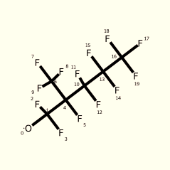 [O]C(F)(F)C(F)(C(F)(F)F)C(F)(F)C(F)(F)C(F)(F)F